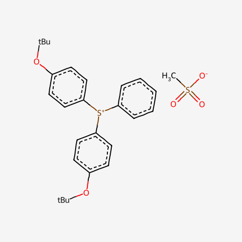 CC(C)(C)Oc1ccc([S+](c2ccccc2)c2ccc(OC(C)(C)C)cc2)cc1.CS(=O)(=O)[O-]